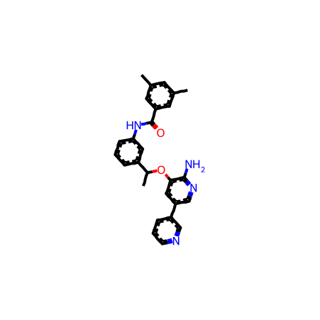 Cc1cc(C)cc(C(=O)Nc2cccc(C(C)Oc3cc(-c4cccnc4)cnc3N)c2)c1